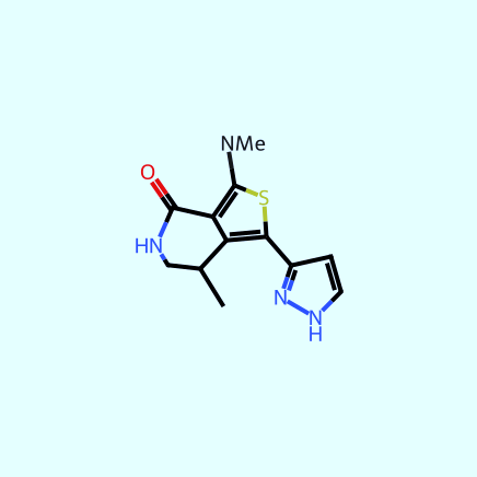 CNc1sc(-c2cc[nH]n2)c2c1C(=O)NCC2C